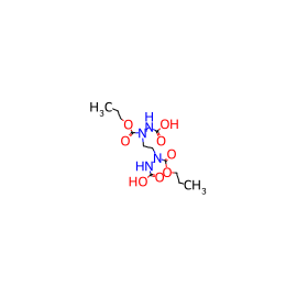 CCCOC(=O)N(CCN(NC(=O)O)C(=O)OCCC)NC(=O)O